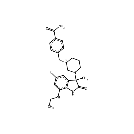 CCNc1cc(F)cc2c1NC(=O)C2(C)N1CCC[C@@H](Cc2ccc(C(N)=O)cc2)C1